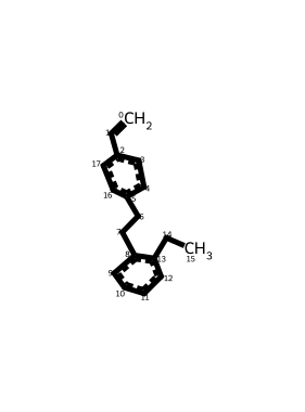 C=Cc1ccc(CCc2ccccc2CC)cc1